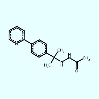 BC(=O)NNC(C)(C)c1ccc(-c2ccccn2)cc1